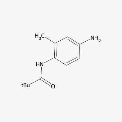 Cc1cc(N)ccc1NC(=O)C(C)(C)C